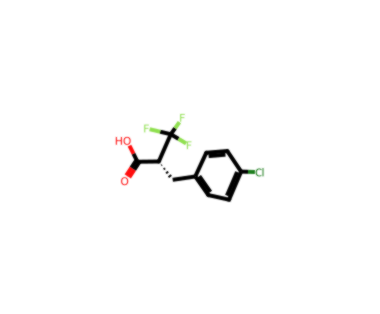 O=C(O)[C@@H](Cc1ccc(Cl)cc1)C(F)(F)F